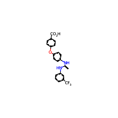 C=C(Nc1ccc(Oc2ccc(C(=O)O)cc2)cc1)Nc1cccc(C(F)(F)F)c1